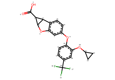 O=C(O)C1C2Oc3cc(Oc4ccc(C(F)(F)F)cc4OC4CC4)ccc3C21